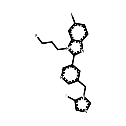 FCCCn1c(-c2cncc(Cn3cncc3F)c2)nc2ccc(I)cc21